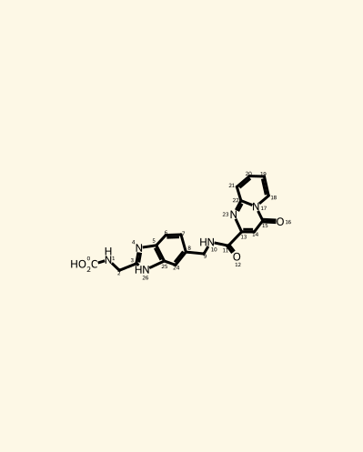 O=C(O)NCc1nc2ccc(CNC(=O)c3cc(=O)n4ccccc4n3)cc2[nH]1